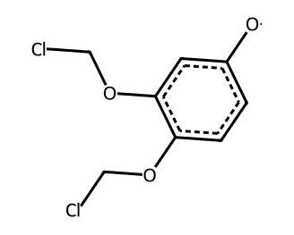 [O]c1ccc(OCCl)c(OCCl)c1